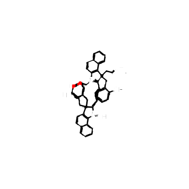 C=CCC1(Cc2ccccc2C)C(/C=C/C=C2/N(C)c3c(ccc4ccccc34)C2(CC=C)Cc2ccccc2)=[N+](CCC(C)C)c2ccc3ccccc3c21